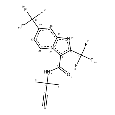 C#CC(C)(C)NC(=O)c1c(C(F)(F)F)nc2cc(C(F)(F)F)ccn12